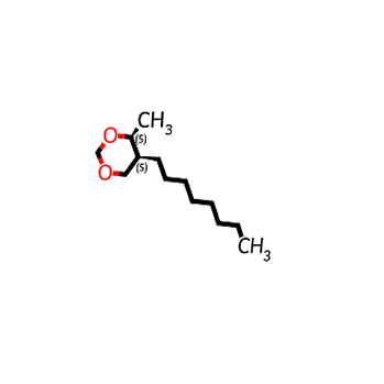 CCCCCCCC[C@H]1COCO[C@H]1C